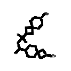 CC(CC(C)(C)C1CC2(CCN(C(C)C)CC2)C1)C1CCC2(CC1)CN(C(C)C)C2